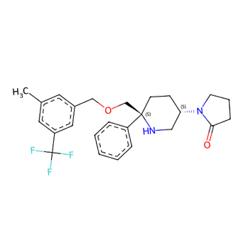 Cc1cc(COC[C@@]2(c3ccccc3)CC[C@H](N3CCCC3=O)CN2)cc(C(F)(F)F)c1